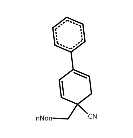 CCCCCCCCCCC1(C#N)C=CC(c2ccccc2)=CC1